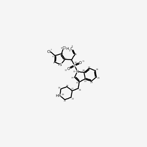 C=CC(c1scc(Cl)c1Cl)S(=O)(=O)n1cc(CC2CCNCC2)c2ccccc21